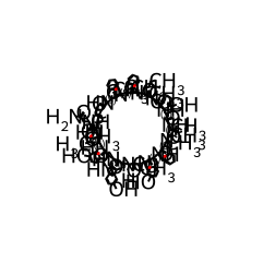 CCCC[C@H]1C(=O)N(C)CC(=O)N[C@@H](CC(=O)O)C(=O)N[C@@H](C(C)C)C(=O)N(C)[C@@H](Cc2ccccc2)C(=O)N[C@@H](Cc2ccc(O)cc2)C(=O)N(C)CC(=O)N[C@@H](Cc2c[nH]c3ccc(O)cc23)C(=O)NC(Cc2ccc(O)cc2)C(=O)N[C@@H](CC(C)C)C(=O)N[C@H](C(=O)NCC(N)=O)CSCC(=O)N[C@@H](Cc2ccccc2)C(=O)N(C)[C@@H](Cc2ccccc2)C(=O)N1C